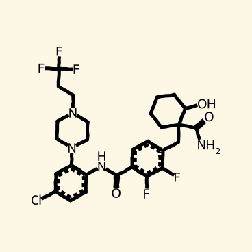 NC(=O)C1(Cc2ccc(C(=O)Nc3ccc(Cl)cc3N3CCN(CCC(F)(F)F)CC3)c(F)c2F)CCCCC1O